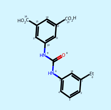 CCc1cccc(NC(=O)Nc2cc(C(=O)O)cc(C(=O)O)c2)c1